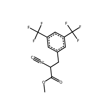 [C-]#[N+]C(Cc1cc(C(F)(F)F)cc(C(F)(F)F)c1)C(=O)OC